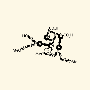 COCCOCCOCCN(CCOCCO)c1ccc(C#Cc2cc(CN3CCN(Cc4cc(C#Cc5ccc(N(CCOCCOCCOC)CCOCCOCCOC)cc5)cc(C(=O)O)n4)CCN(CC(=O)O)Cc4cccc(n4)C3)nc(C(=O)O)c2)cc1